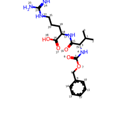 CC(C)[C@H](NC(=O)OCc1ccccc1)C(=O)NC(CCCNC(=N)N)C(=O)O